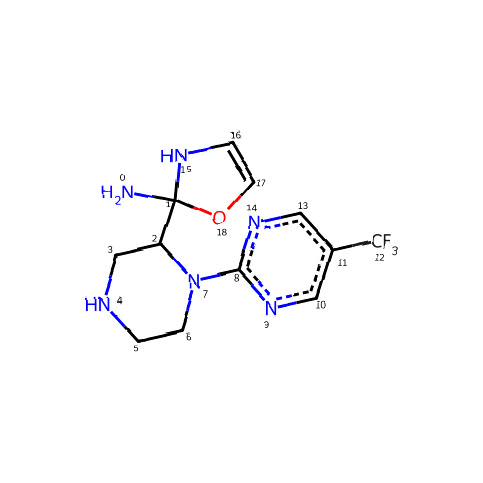 NC1(C2CNCCN2c2ncc(C(F)(F)F)cn2)NC=CO1